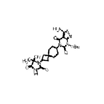 CCCCn1c(=O)n(C2CCC3(CC2)CC(N2C(=O)NC(=O)C2(C)C)C3)c(=O)c2c(N)snc21